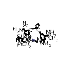 C=C(N)c1cc(N)c2c(c1)CCC(N1CCC1)CCc1cc(C(=C)N)cc3nc(NC(=C)c4cc(C)nn4CC)n(c13)C/C=C/CN2